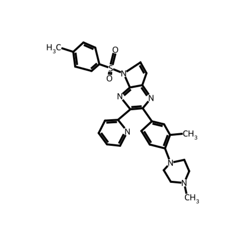 Cc1ccc(S(=O)(=O)n2ccc3nc(-c4ccc(N5CCN(C)CC5)c(C)c4)c(-c4ccccn4)nc32)cc1